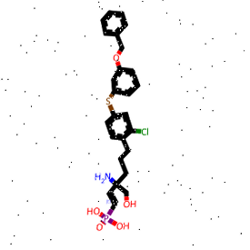 NC(/C=C/P(=O)(O)O)(CO)CCCc1ccc(Sc2cccc(OCc3ccccc3)c2)cc1Cl